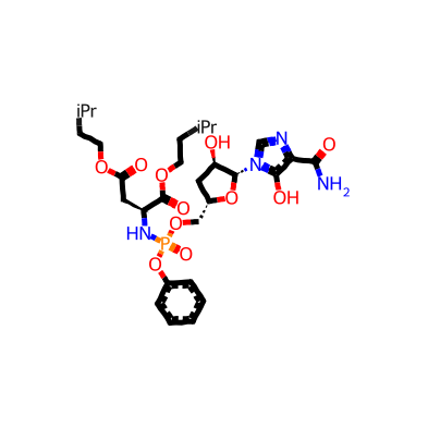 CC(C)CCOC(=O)C[C@H](NP(=O)(OC[C@@H]1C[C@@H](O)[C@H](n2cnc(C(N)=O)c2O)O1)Oc1ccccc1)C(=O)OCCC(C)C